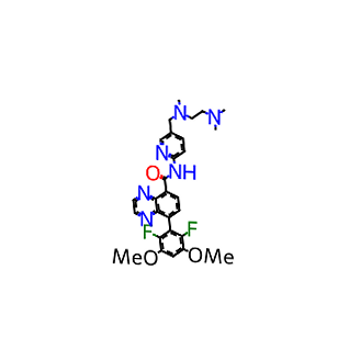 COc1cc(OC)c(F)c(-c2ccc(C(=O)Nc3ccc(CN(C)CCN(C)C)cn3)c3nccnc23)c1F